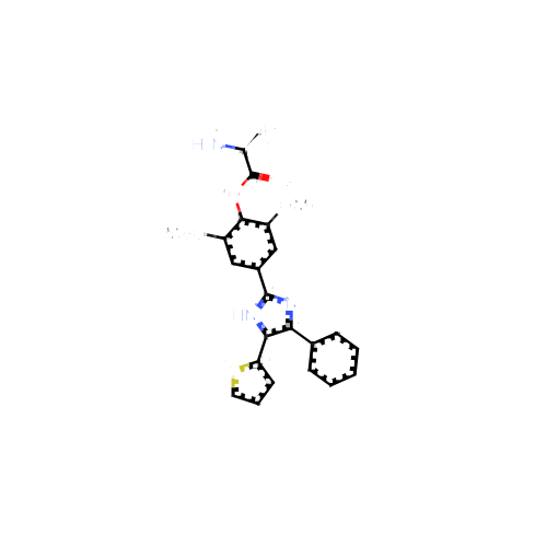 COc1cc(-c2nc(-c3ccccc3)c(-c3cccs3)[nH]2)cc(OC)c1OC(=O)[C@@H](N)C(C)C